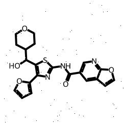 O=C(Nc1nc(-c2ccco2)c(C(O)C2CCOCC2)s1)c1cnc2occc2c1